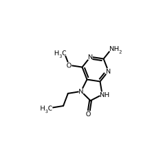 CCCn1c(=O)[nH]c2nc(N)nc(OC)c21